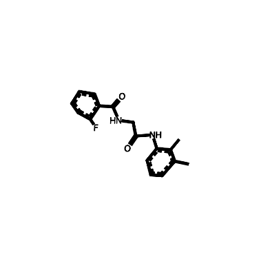 Cc1cccc(NC(=O)CNC(=O)c2ccccc2F)c1C